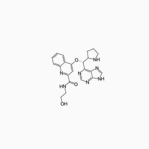 O=C(NCCO)c1cc(O[C@@H](c2ncnc3[nH]cnc23)C2CCCN2)c2ccccc2n1